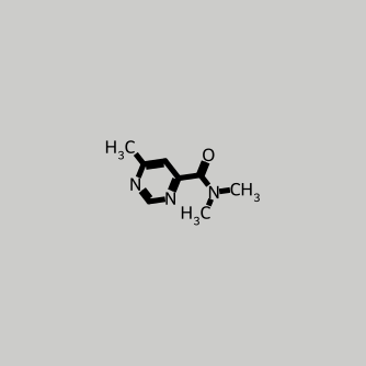 Cc1cc(C(=O)N(C)C)ncn1